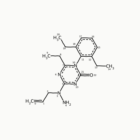 C=CCN(N)c1nc(CC)n(-c2c(CC)cccc2CC)c(=O)n1